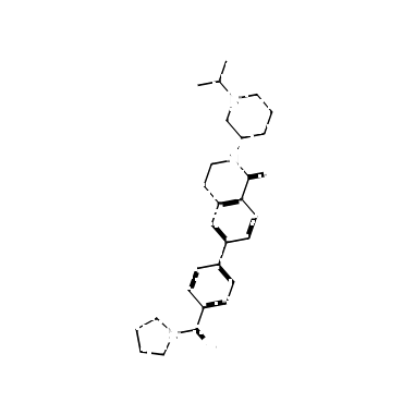 CC(C)N1CCC[C@@H](N2CCc3cc(-c4ccc(C(=O)N5CCCC5)cc4)ccc3C2=O)C1